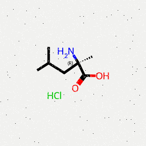 CC(C)C[C@@](C)(N)C(=O)O.Cl